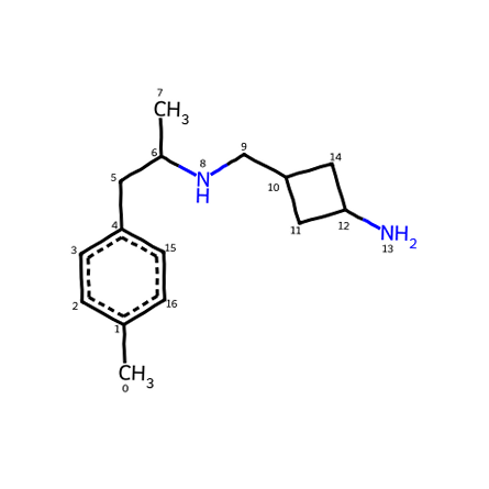 Cc1ccc(CC(C)NCC2CC(N)C2)cc1